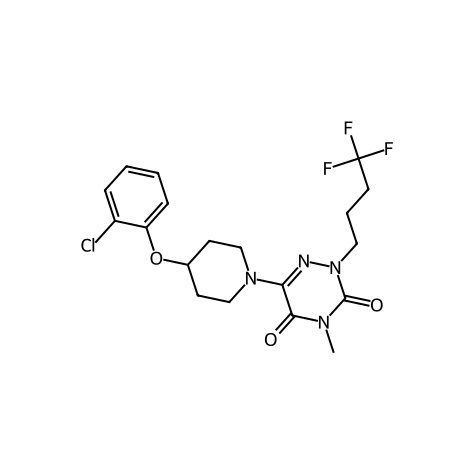 Cn1c(=O)c(N2CCC(Oc3ccccc3Cl)CC2)nn(CCCC(F)(F)F)c1=O